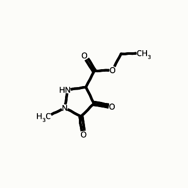 CCOC(=O)C1NN(C)C(=O)C1=O